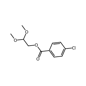 COC(COC(=O)c1ccc(Cl)cc1)OC